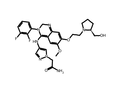 COc1cc2c(cc1OCCN1CCC[C@H]1CO)=NCN(c1cccc(F)c1F)C=2Nc1cnn(CC(N)=O)c1